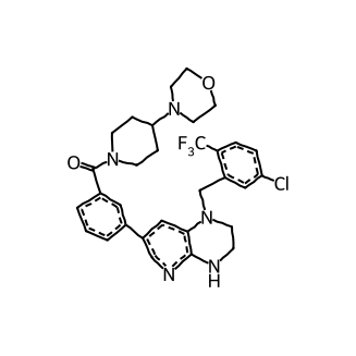 O=C(c1cccc(-c2cnc3c(c2)N(Cc2cc(Cl)ccc2C(F)(F)F)CCN3)c1)N1CCC(N2CCOCC2)CC1